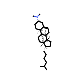 CC(C)CCCC[C@H]1CC[C@H]2[C@@H]3CC=C4C[C@@H](N(C)C)CC[C@]4(C)[C@H]3CC[C@]12C